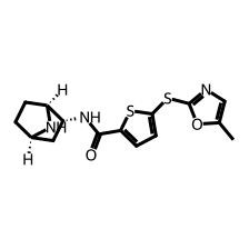 Cc1cnc(Sc2ccc(C(=O)N[C@@H]3C[C@H]4CC[C@@H]3N4)s2)o1